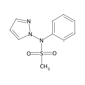 CS(=O)(=O)N(c1[c]cccc1)n1cccn1